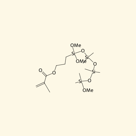 C=C(C)C(=O)OCCC[Si](OC)(OC)O[Si](C)(C)O[Si](C)(C)O[Si](C)(C)OC